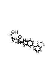 Cc1ccncc1-c1ccc2nc(NC(=O)[C@@H]3C[C@@H]3CO)sc2c1